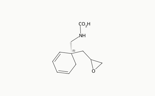 O=C(O)NC[C@@]1(CC2CO2)C=CC=CC1